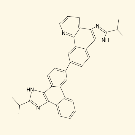 CC(C)c1nc2c3ccccc3c3cc(-c4ccc5c(c4)c4ncccc4c4nc(C(C)C)[nH]c54)ccc3c2[nH]1